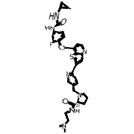 CN(C)CCNC(=O)[C@@H]1CCCN1Cc1ccc(-c2cc3nccc(Oc4ccc(NC(=O)NC5CC5)cc4F)c3s2)nc1